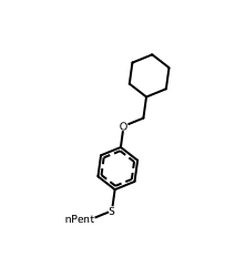 CCCCCSc1ccc(OCC2CCCCC2)cc1